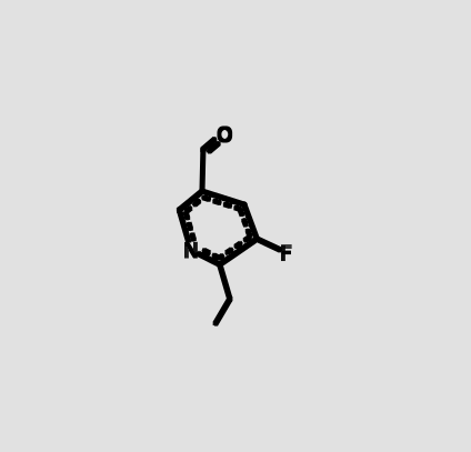 CCc1ncc(C=O)cc1F